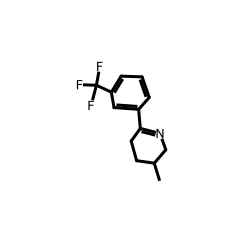 CC1CCC(c2cccc(C(F)(F)F)c2)=NC1